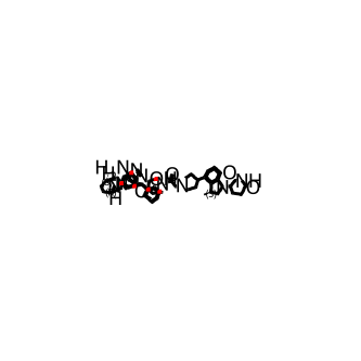 C[C@@H]1CN(C2CCC(=O)NC2=O)c2cccc(C3CCN(CC(=O)N4CCC(Oc5cccc(N6[C@@H]7CC[C@H]6CN(c6cc(-c8ccccc8O)nnc6N)C7)c5)CC4)CC3)c21